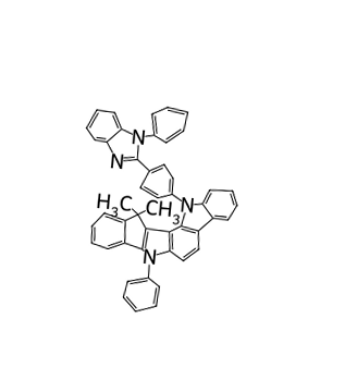 CC1(C)c2ccccc2-c2c1c1c(ccc3c4ccccc4n(-c4ccc(-c5nc6ccccc6n5-c5ccccc5)cc4)c31)n2-c1ccccc1